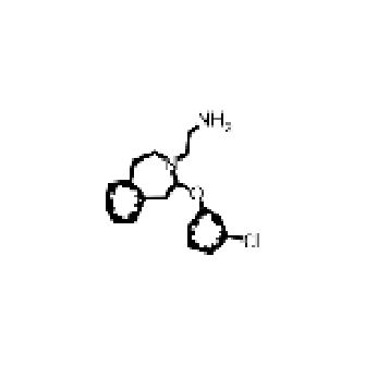 NCCN1CCc2ccccc2CC1Oc1cccc(Cl)c1